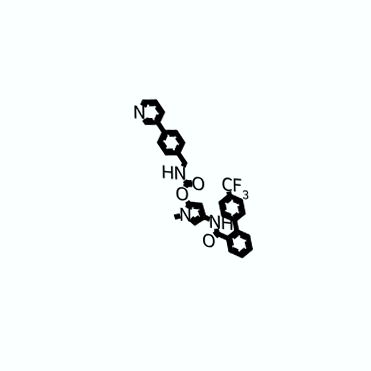 Cn1cc(NC(=O)c2ccccc2-c2ccc(C(F)(F)F)cc2)cc1OC(=O)NCc1ccc(-c2cccnc2)cc1